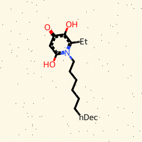 CCCCCCCCCCCCCCCCn1c(O)cc(=O)c(O)c1CC